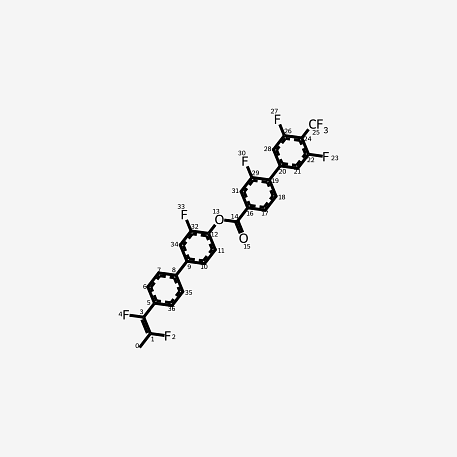 C/C(F)=C(\F)c1ccc(-c2ccc(OC(=O)c3ccc(-c4cc(F)c(C(F)(F)F)c(F)c4)c(F)c3)c(F)c2)cc1